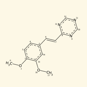 COc1ccc(C=Cc2ncncn2)cc1OC